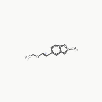 CCO/C=C/c1ccc2nn(C)cc2c1